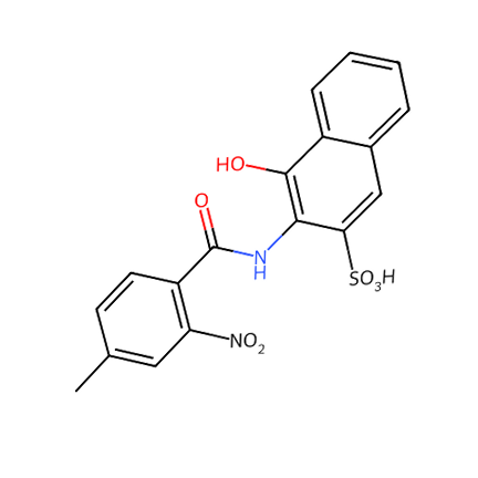 Cc1ccc(C(=O)Nc2c(S(=O)(=O)O)cc3ccccc3c2O)c([N+](=O)[O-])c1